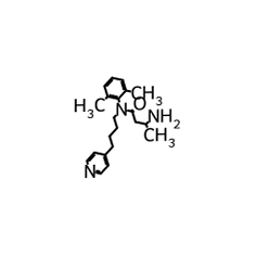 Cc1cccc(C)c1N(CCCCc1ccncc1)C(=O)CC(C)N